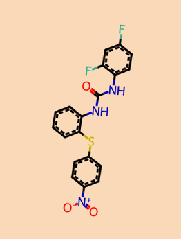 O=C(Nc1ccc(F)cc1F)Nc1ccccc1Sc1ccc([N+](=O)[O-])cc1